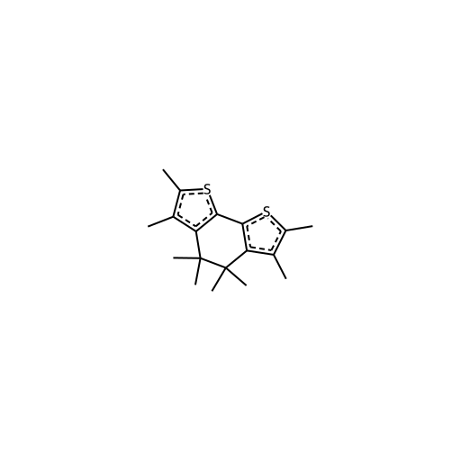 Cc1sc2c(c1C)C(C)(C)C(C)(C)c1c-2sc(C)c1C